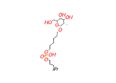 CC(C)CCCOP(=O)(O)OCCCCCCO[C@@H]1OC(CO)[C@H](O)C(O)[C@@H]1C